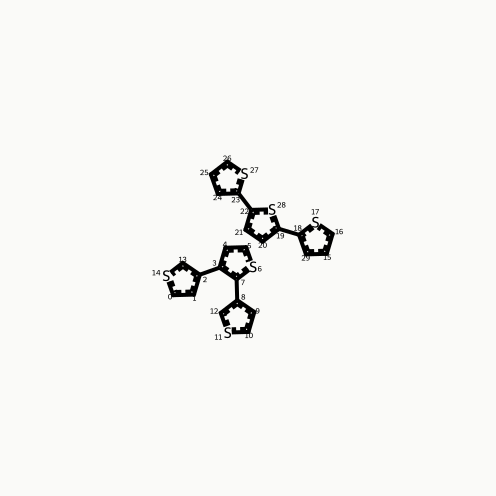 c1cc(-c2ccsc2-c2ccsc2)cs1.c1csc(-c2ccc(-c3cccs3)s2)c1